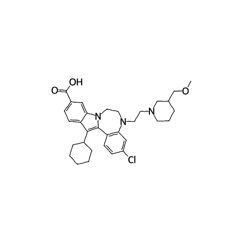 COCC1CCCN(CCN2CCn3c(c(C4CCCCC4)c4ccc(C(=O)O)cc43)-c3ccc(Cl)cc32)C1